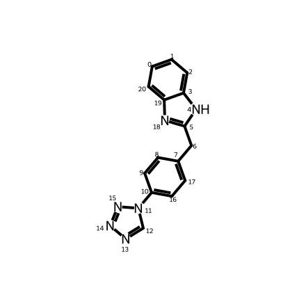 c1ccc2[nH]c(Cc3ccc(-n4cnnn4)cc3)nc2c1